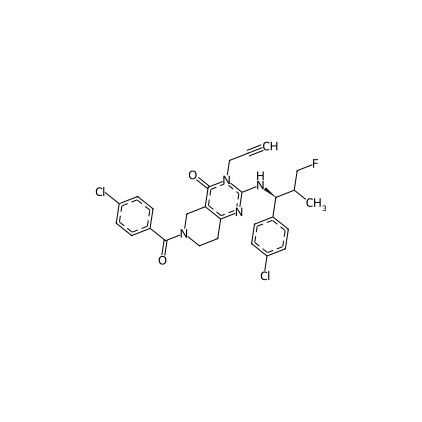 C#CCn1c(N[C@H](c2ccc(Cl)cc2)C(C)CF)nc2c(c1=O)CN(C(=O)c1ccc(Cl)cc1)CC2